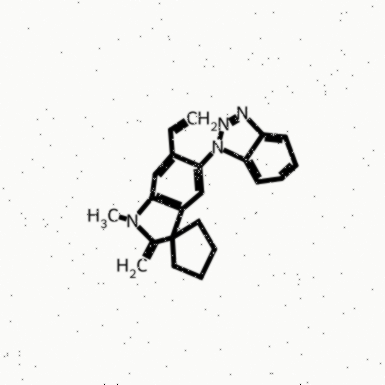 C=Cc1cc2c(cc1-n1nnc3ccccc31)C1(CCCC1)C(=C)N2C